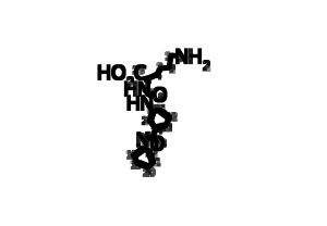 NCCCC[C@H](NC(=O)Nc1cccc(-c2nc3ccccc3o2)c1)C(=O)O